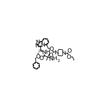 CCOC(=O)N1CCN(C(=O)OCc2cccc3nnc([C@@H](COCc4ccccc4)NC(=O)C(C)(C)N)n23)CC1